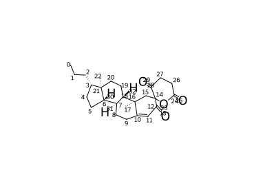 CCC[C@H]1CC[C@H]2[C@@H]3CCC4=CC(=O)C5(C[C@]4(C)[C@H]3CC[C@]12C)OC(=O)CCC5=O